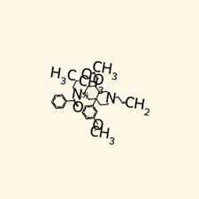 C=CCN1CCC2(c3cccc(OC)c3)C[C@H](N(CC(C)C)C(=O)c3ccccc3)CC(OC(C)=O)C2C1